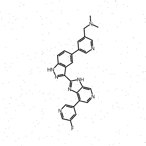 CN(C)Cc1cncc(-c2ccc3[nH]nc(-c4nc5c(-c6cncc(F)c6)cncc5[nH]4)c3c2)c1